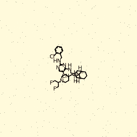 N#Cc1cnc(NCc2ccccc2Cl)nc1NCC1C[C@H]2CCC[C@@H](C1)[C@@H]2NCC1CCN(C(CF)CF)CC1